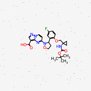 CC(C)(C)OC(=O)NC1(COc2ccc(F)cc2C2CCON2c2ccn3ncc(C(=O)O)c3n2)CC1